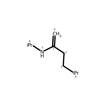 C=C(CCC(C)C)NC(C)C